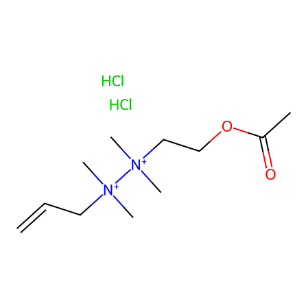 C=CC[N+](C)(C)[N+](C)(C)CCOC(C)=O.Cl.Cl